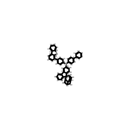 c1ccc(-c2ccc(N(c3ccc(-c4cccc5c4sc4ccccc45)cc3)c3ccc4c(c3)-c3ccccc3C43C4CC5CC(C4)CC3C5)cc2)cc1